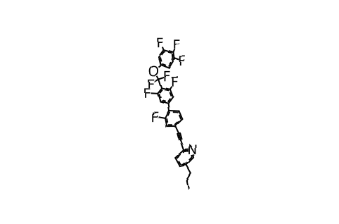 CCCc1ccc(C#Cc2ccc(-c3cc(F)c(C(F)(F)Oc4cc(F)c(F)c(F)c4)c(F)c3)c(F)c2)nc1